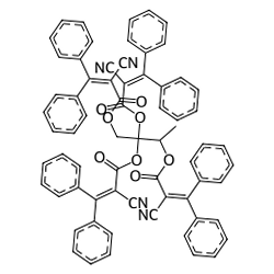 CC(OC(=O)C(C#N)=C(c1ccccc1)c1ccccc1)C(COC(=O)C(C#N)=C(c1ccccc1)c1ccccc1)(OC(=O)C(C#N)=C(c1ccccc1)c1ccccc1)OC(=O)C(C#N)=C(c1ccccc1)c1ccccc1